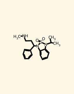 CNCCC(c1ccccc1)N1c2ccccc2N(C(C)C)S1(=O)=O